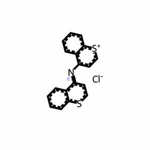 [Cl-].c1ccc2/c(=N/c3cc[s+]c4ccccc34)ccsc2c1